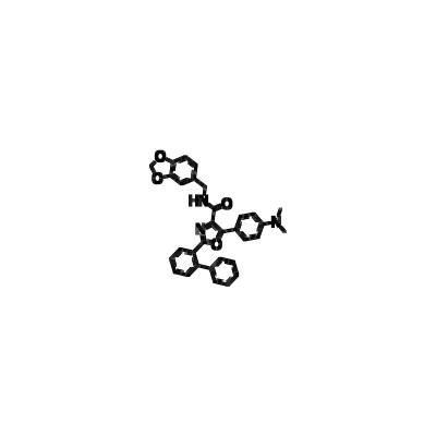 CN(C)c1ccc(-c2oc(-c3ccccc3-c3ccccc3)nc2C(=O)NCc2ccc3c(c2)OCO3)cc1